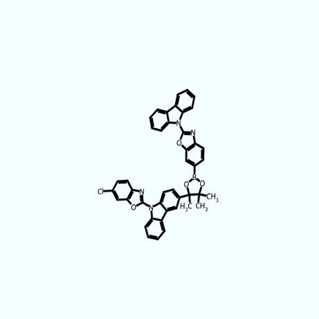 CC1(C)OB(c2ccc3nc(-n4c5ccccc5c5ccccc54)oc3c2)OC1(C)c1ccc2c(c1)c1ccccc1n2-c1nc2ccc(Cl)cc2o1